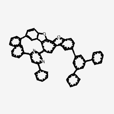 C1=CC2Oc3c(c(-c4nc(-c5ccccc5)cc(-c5ccccc5)n4)cc4c3oc3ccc(-c5cc(-c6ccccc6)cc(-c6ccccc6)c5)cc34)C2C=C1c1ccccc1